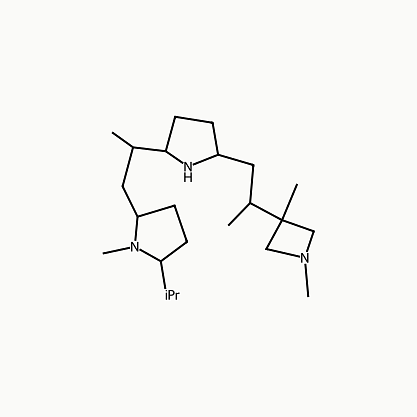 CC(C)C1CCC(CC(C)C2CCC(CC(C)C3(C)CN(C)C3)N2)N1C